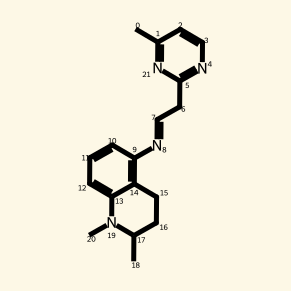 Cc1ccnc(C/C=N/c2cccc3c2CCC(C)N3C)n1